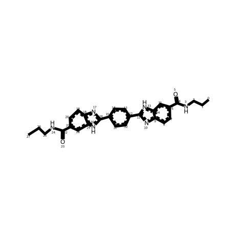 CCCNC(=O)c1ccc2nc(-c3ccc(-c4nc5ccc(C(=O)NCCC)cc5[nH]4)cc3)[nH]c2c1